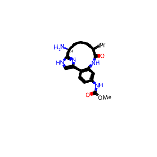 COC(=O)Nc1ccc2c(c1)NC(=O)C(C(C)C)CCC[C@H](N)c1nc-2c[nH]1